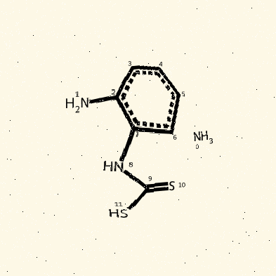 N.Nc1ccccc1NC(=S)S